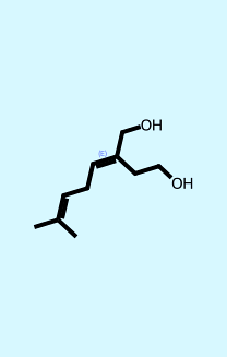 CC(C)=CC/C=C(/CO)CCO